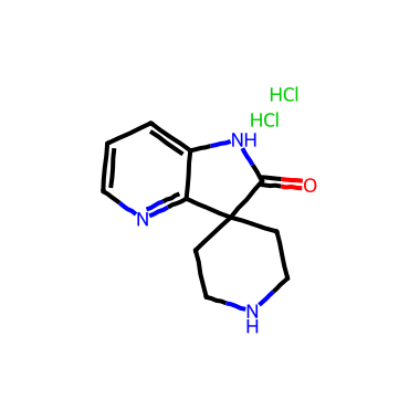 Cl.Cl.O=C1Nc2cccnc2C12CCNCC2